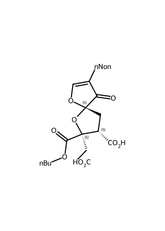 CCCCCCCCCC1=CO[C@]2(C[C@H](C(=O)O)[C@@](CC(=O)O)(C(=O)OCCCC)O2)C1=O